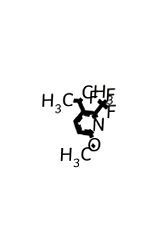 COc1ccc(C(C)C)c(C(F)(F)F)n1